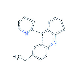 CCc1ccc2nc3ccccc3c(-c3ccccn3)c2c1